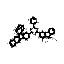 CC1(C)c2ccccc2-c2cc(-c3nc(-c4ccccc4)nc(-c4ccc5c(c4)C4(c6cc7ccccc7cc6-5)C5CC6CC(C5)CC4C6)n3)ccc21